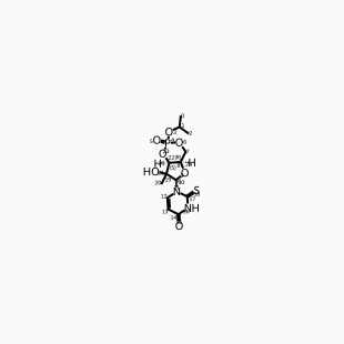 CC(C)OP1(=O)OC[C@H]2O[C@@H](n3ccc(=O)[nH]c3=S)C(C)(O)[C@H]2O1